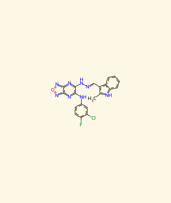 Cc1[nH]c2ccccc2c1C=NNc1nc2nonc2nc1Nc1ccc(F)c(Cl)c1